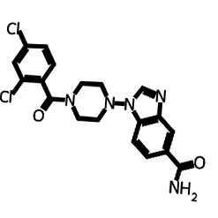 NC(=O)c1ccc2c(c1)ncn2N1CCN(C(=O)c2ccc(Cl)cc2Cl)CC1